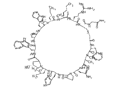 CCCC[C@H]1C(=O)N(C)[C@@H](CCCC)C(=O)N[C@@H](CCCNC(=N)N)C(=O)N[C@H](C(=O)NCC(N)=O)CSCC(=O)N[C@@H](Cc2ccccn2)C(=O)N(C)[C@@H](C)C(=O)N[C@@H](CC(N)=O)C(=O)N2CCC[C@H]2C(=O)N[C@@H](Cc2c[nH]cn2)C(=O)N[C@@H](CC(C)C)C(=O)N2C[C@H](O)CC2C(=O)N[C@@H](Cc2c[nH]c3ccccc23)C(=O)N[C@@H](CO)C(=O)N[C@@H](Cc2c[nH]c3ccccc23)C(=O)N1C